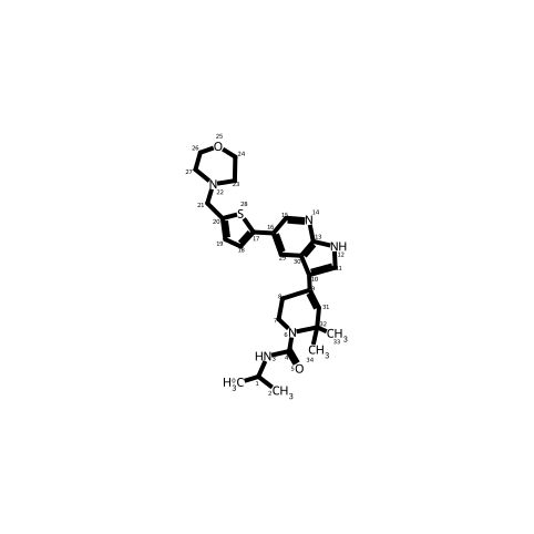 CC(C)NC(=O)N1CCC(c2c[nH]c3ncc(-c4ccc(CN5CCOCC5)s4)cc23)=CC1(C)C